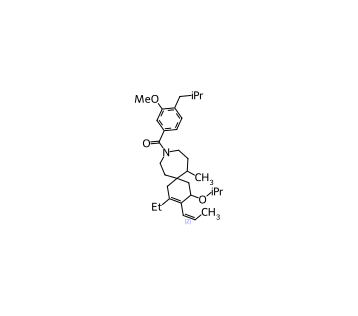 C/C=C\C1=C(CC)CC2(CCN(C(=O)c3ccc(CC(C)C)c(OC)c3)CCC2C)CC1OC(C)C